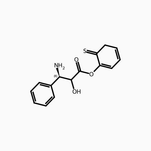 N[C@H](c1ccccc1)C(O)C(=O)OC1=CC=CCC1=S